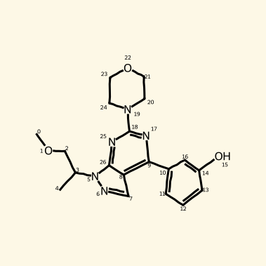 COCC(C)n1ncc2c(-c3cccc(O)c3)nc(N3CCOCC3)nc21